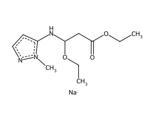 CCOC(=O)CC(Nc1ccnn1C)OCC.[Na]